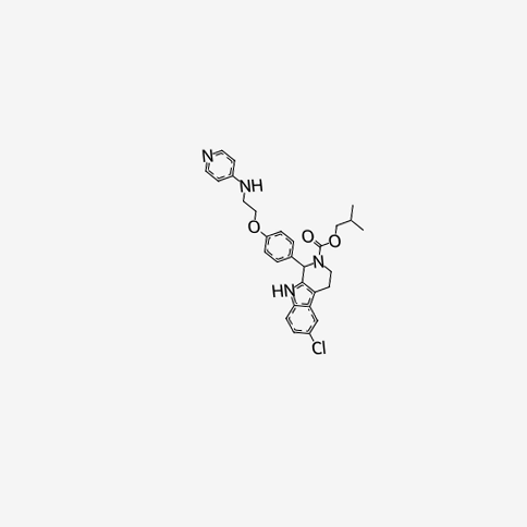 CC(C)COC(=O)N1CCc2c([nH]c3ccc(Cl)cc23)C1c1ccc(OCCNc2ccncc2)cc1